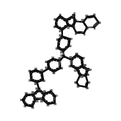 C1=CC2C=Cc3c(oc4cccc(-c5ccc(N(c6ccc(-c7cccc(-n8c9ccccc9c9ccccc98)c7)cc6)c6ccc7oc8c(c7c6)CCC=C8)cc5)c34)C2C=C1